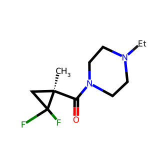 CCN1CCN(C(=O)[C@]2(C)CC2(F)F)CC1